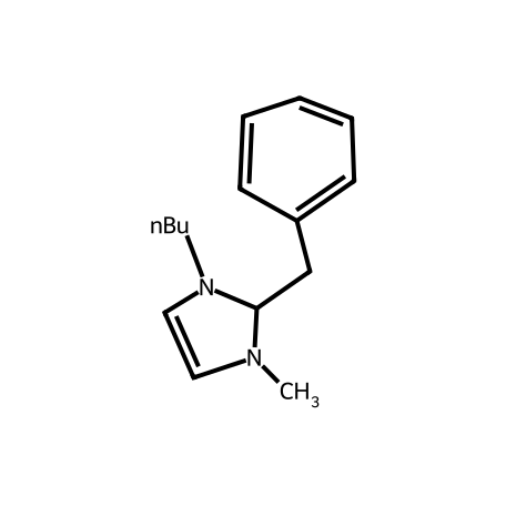 CCCCN1C=CN(C)C1Cc1ccccc1